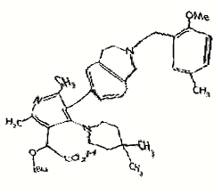 COc1ccc(C)cc1CN1CCc2cc(-c3c(C)nc(C)c(C(OC(C)(C)C)C(=O)O)c3N3CCC(C)(C)CC3)ccc2C1